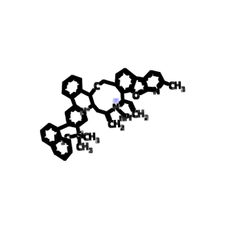 C=C/C1=[N+](\CCC)C(=C)CC2C(CCc3ccc4c(oc5nc(C)ccc54)c31)c1ccccc1-c1cc(-c3cccc4ccccc34)c([Si](C)(C)C)c[n+]12